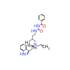 C=CCN1CC(CCNC(=O)NC(=O)c2ccccc2)C[C@@H]2c3cccc4[nH]cc(c34)C[C@H]21